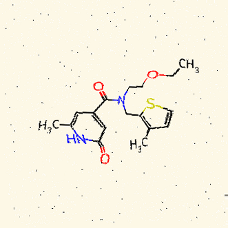 CCOCCN(Cc1sccc1C)C(=O)c1cc(C)[nH]c(=O)c1